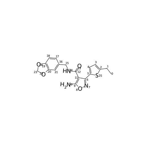 CCc1ccc(-c2noc(N)c2C(=O)NCc2ccc3c(c2)OCO3)s1